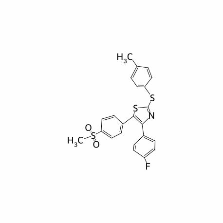 Cc1ccc(Sc2nc(-c3ccc(F)cc3)c(-c3ccc(S(C)(=O)=O)cc3)s2)cc1